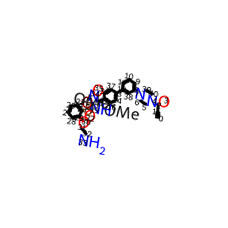 C#CC(=O)N1CCN(c2cccc(-c3cc(OC)c4c(NS(=O)(=O)c5c(OC)cccc5OCCN)noc4c3)c2)CC1